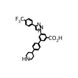 O=C(O)c1cc(-c2ccc(C3CCNCC3)cc2)cc(-n2cc(-c3ccc(C(F)(F)F)cc3)nn2)c1